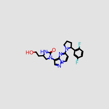 O=C1NC(CCO)CN1c1cnn2ccc(N3CCCC3c3cc(F)ccc3F)nc12